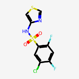 O=S(=O)(Nc1cscn1)c1cc(Cl)c(F)cc1F